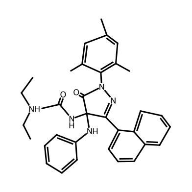 CC(=O)NC1(Nc2ccccc2)C(=O)N(c2c(C)cc(C)cc2C)N=C1c1cccc2ccccc12.CCNCC